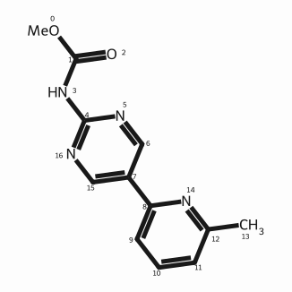 COC(=O)Nc1ncc(-c2cccc(C)n2)cn1